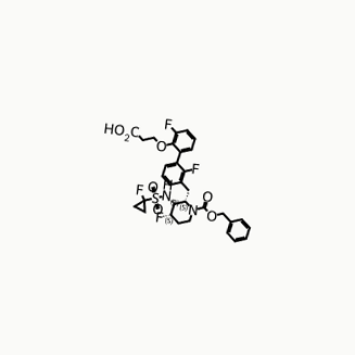 O=C(O)CCOc1c(F)cccc1-c1cccc(C[C@H]2[C@@H](NS(=O)(=O)C3(F)CC3)[C@@H](F)CCN2C(=O)OCc2ccccc2)c1F